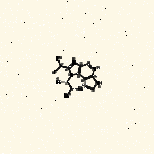 CCC(CC)[C@H](CC)n1c(C(F)F)nc2cnc3[nH]ccc3c21